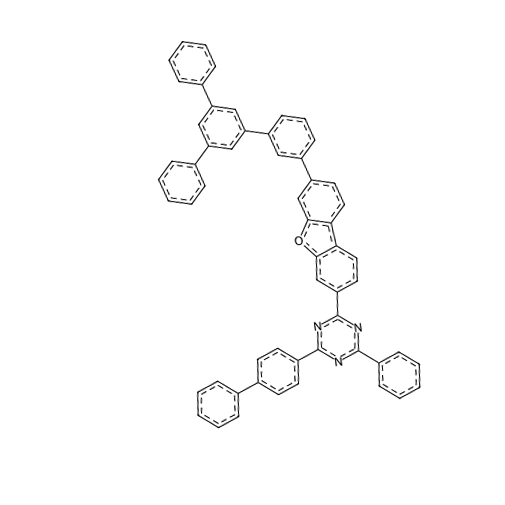 c1ccc(-c2ccc(-c3nc(-c4ccccc4)nc(-c4ccc5c(c4)oc4cc(-c6cccc(-c7cc(-c8ccccc8)cc(-c8ccccc8)c7)c6)ccc45)n3)cc2)cc1